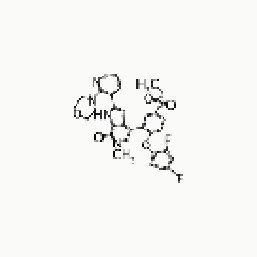 CCS(=O)(=O)c1ccc(Oc2ccc(F)cc2F)c(-c2cn(C)c(=O)c3[nH]c(-c4cccnc4N4CCOCC4)cc23)c1